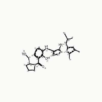 Cc1cc([C@H](Nc2nsnc2Nc2cccc(C(=O)N3CCC[C@H]3CO)c2O)C(C)C)oc1C